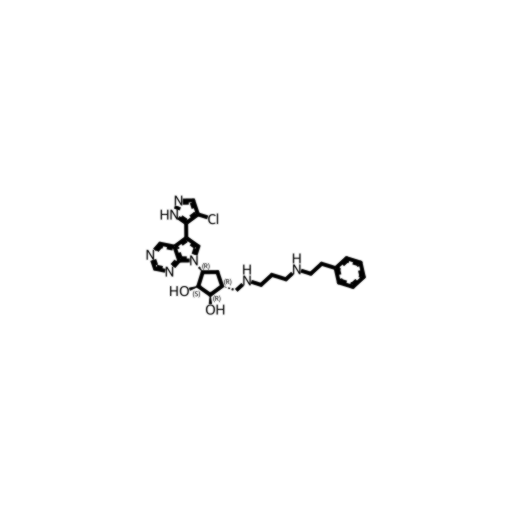 O[C@@H]1[C@@H](CNCCCNCCc2ccccc2)C[C@@H](n2cc(-c3[nH]ncc3Cl)c3cncnc32)[C@@H]1O